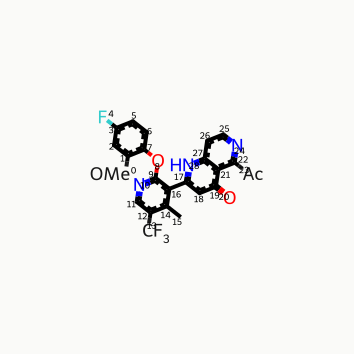 COc1cc(F)ccc1Oc1ncc(C(F)(F)F)c(C)c1-c1cc(=O)c2c(C(C)=O)nccc2[nH]1